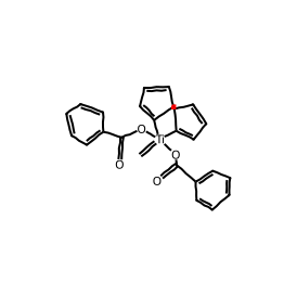 [CH2]=[Ti]([O]C(=O)c1ccccc1)([O]C(=O)c1ccccc1)([C]1=CC=CC1)[C]1=CC=CC1